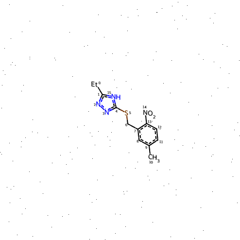 CCc1nnc(SCc2cc(C)ccc2[N+](=O)[O-])[nH]1